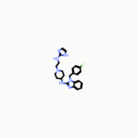 Fc1ccc(Cn2c(NC3CCN(CCNc4ncc[nH]4)CC3)nc3ccccc32)cc1